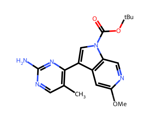 COc1cc2c(-c3nc(N)ncc3C)cn(C(=O)OC(C)(C)C)c2cn1